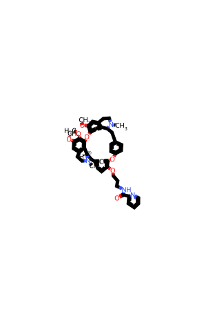 COc1cc2c3cc1Oc1c(OC)c(OC)cc4c1[C@@H](Cc1ccc(OCCCNC(=O)c5ccccn5)c(c1)Oc1ccc(cc1)CC3N(C)CC2)N(C)CC4